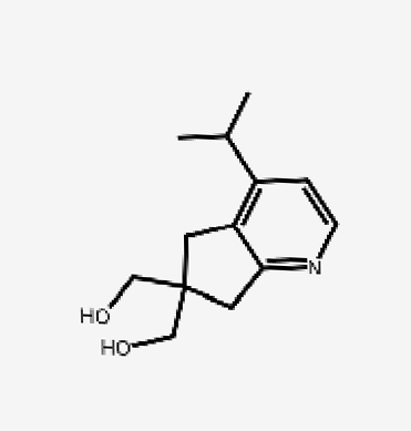 CC(C)c1ccnc2c1CC(CO)(CO)C2